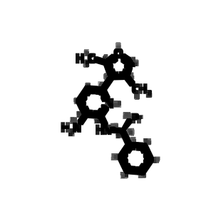 Cc1noc(C)c1-c1ccc(N)c(N[C@H](c2ccccc2)C(C)C)n1